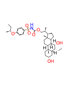 CC[C@H]1[C@@H](O)[C@@H]2[C@H](CC[C@]3(C)[C@@H]([C@H](C)COC(=O)NS(=O)(=O)c4ccc(O[C@@H](C)CC)cc4)CC[C@@H]23)[C@@]2(C)CC[C@@H](O)C[C@@H]12